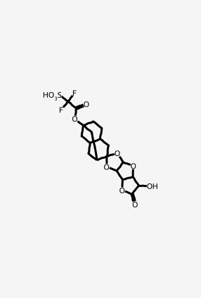 O=C1OC2C3OC4(CC5CCC6(OC(=O)C(F)(F)S(=O)(=O)O)CC5CC4C6)OC3OC2C1O